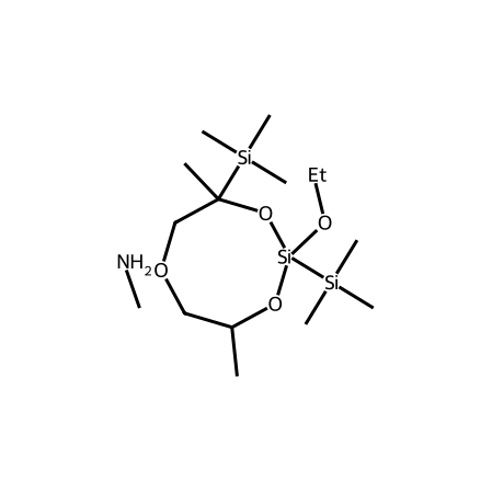 CCO[Si]1([Si](C)(C)C)OC(C)COCC(C)([Si](C)(C)C)O1.CN